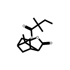 CCC(C)(C)C(=O)OC1(C)C2CC3OC(=O)C1C3C2